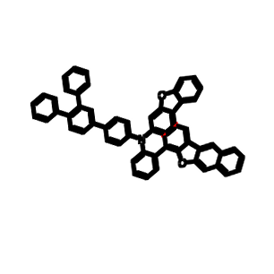 c1ccc(-c2ccc(-c3ccc(N(c4ccc5c(c4)oc4ccccc45)c4ccccc4-c4cccc5c4oc4cc6ccccc6cc45)cc3)cc2-c2ccccc2)cc1